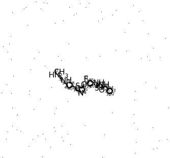 CNCCNCc1ccc(-c2cc3nccc(Oc4ccc(NC(=S)NC(=O)Cc5ccccc5)cc4F)c3s2)cc1